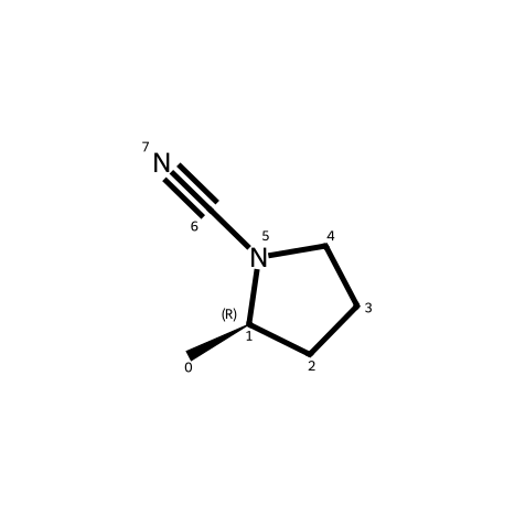 C[C@@H]1CCCN1C#N